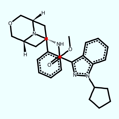 COc1ccccc1CN1[C@@H]2COC[C@H]1C[C@@H](NC(=O)c1nn(C3CCCC3)c3ccccc13)C2